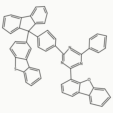 c1ccc(-c2nc(-c3ccc(C4(c5ccc6sc7ccccc7c6c5)c5ccccc5-c5ccccc54)cc3)nc(-c3cccc4c3oc3ccccc34)n2)cc1